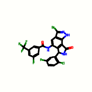 O=C(Nc1cc2c(Br)n[nH]c2c2c1C(c1cc(F)ccc1Cl)NC2=O)c1cc(F)cc(C(F)(F)F)c1